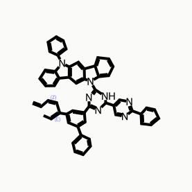 C=C/C=C\C(=C/C)c1cc(C2=NC(c3cnc(-c4ccccc4)nc3)NC(n3c4ccccc4c4cc5c(cc43)c3ccccc3n5-c3ccccc3)=N2)cc(-c2ccccc2)c1